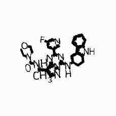 C[C@@H](NC(=O)N1CCOCC1)c1cnn2c(NC3CCc4[nH]c5ccccc5c4C3)nc(-c3cncc(F)c3)nc12